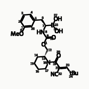 COc1cccc(C[C@H](NC(=O)OC[C@H]2CCCCN2C(=O)/C(C#N)=C/C(C)(C)C)B(O)O)c1